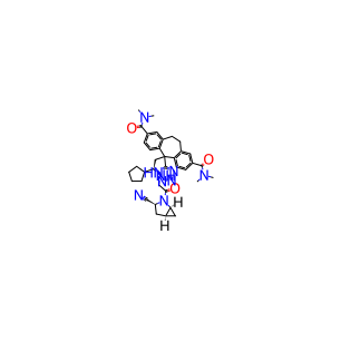 CN(C)C(=O)c1ccc2c(c1)CCc1cc(C(=O)N(C)C)ccc1C2(C[C@@H](NCC(=O)N1[C@H](C#N)C[C@@H]2C[C@@H]21)C1CCCC1)c1nnn[nH]1